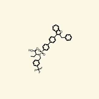 CCC(C(=O)O)N(Cc1cccc(C(F)(F)F)c1)S(=O)(=O)c1ccc(-c2ccc(-c3c(Cc4ccccc4)oc4ccccc34)cc2)cc1